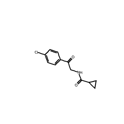 O=C(CNC(=O)C1CC1)c1ccc(Cl)cc1